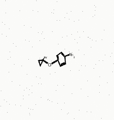 Nc1ccc(OC2(Br)CC2)cc1